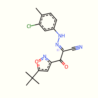 Cc1ccc(N/N=C(\C#N)C(=O)c2cc(C(C)(C)C)on2)cc1Cl